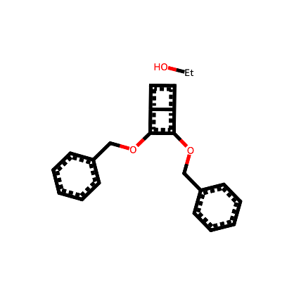 CCO.c1ccc(COc2c3ccc-3c2OCc2ccccc2)cc1